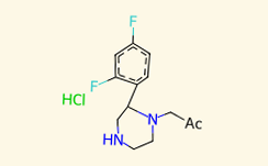 CC(=O)CN1CCNCC1c1ccc(F)cc1F.Cl